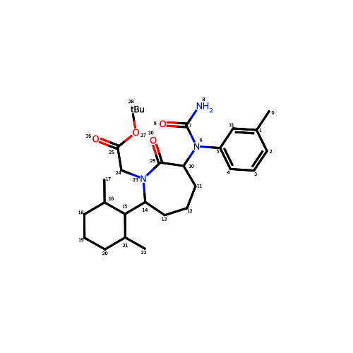 Cc1cccc(N(C(N)=O)C2CCCC(C3C(C)CCCC3C)N(CC(=O)OC(C)(C)C)C2=O)c1